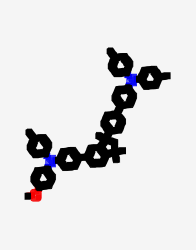 COc1ccc(N(c2ccc(C)cc2)c2ccc(-c3ccc4c(c3)C(C)(c3ccc(-c5ccc(N(c6ccc(C)cc6)c6ccc(C)cc6)cc5)cc3)CC4(C)C)cc2)cc1